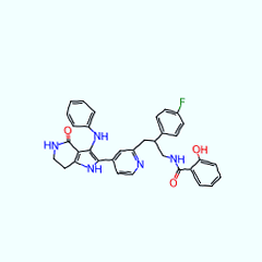 O=C(NCC(Cc1cc(-c2[nH]c3c(c2Nc2ccccc2)C(=O)NCC3)ccn1)c1ccc(F)cc1)c1ccccc1O